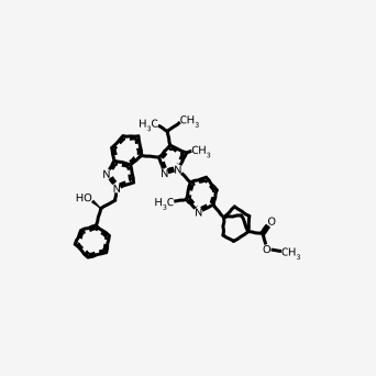 COC(=O)C12CCC(c3ccc(-n4nc(-c5cccc6nn(C[C@H](O)c7ccccc7)cc56)c(C(C)C)c4C)c(C)n3)(CC1)C2